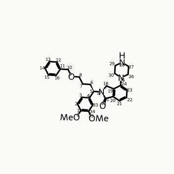 COc1ccc([C@@H](CCCOCc2ccccc2)N2Cc3c(cccc3N3CCNCC3)C2=O)cc1OC